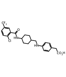 O=C(O)Cc1ccc(NCC2CCC(NC(=O)c3cc(C(F)(F)F)ccc3Cl)CC2)cc1